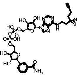 C#CCCC1(CCNc2ncnc3c2ncn3[C@H]2O[C@@H](COP(=O)(O)OP(=O)(O)OC[C@H]3O[C@@H](c4cccc(C(N)=O)c4)[C@@H](O)C3O)[C@@H](O)C2O)N=N1